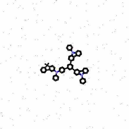 CC1(C)c2ccccc2-c2cc(N(c3ccccc3)c3ccc(-c4cc(-c5ccc6c(c5)c5ccccc5n6-c5ccccc5)cc(-c5ccc6c(c5)c5ccccc5n6-c5ccccc5)c4)cc3)ccc21